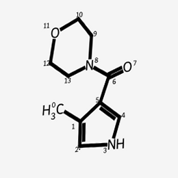 Cc1[c][nH]cc1C(=O)N1CCOCC1